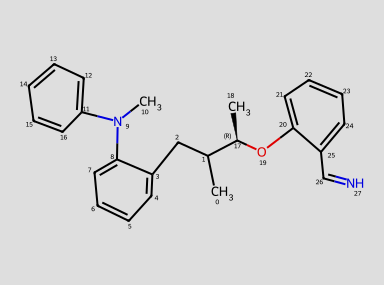 CC(Cc1ccccc1N(C)c1ccccc1)[C@@H](C)Oc1ccccc1C=N